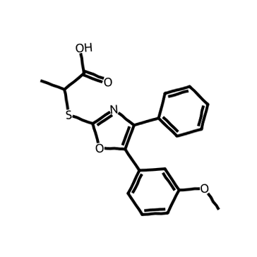 COc1cccc(-c2oc(SC(C)C(=O)O)nc2-c2ccccc2)c1